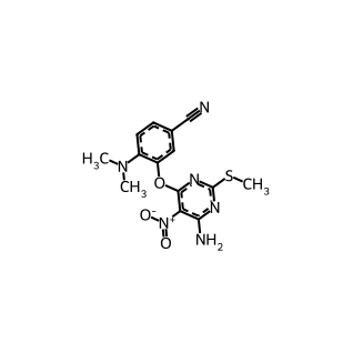 CSc1nc(N)c([N+](=O)[O-])c(Oc2cc(C#N)ccc2N(C)C)n1